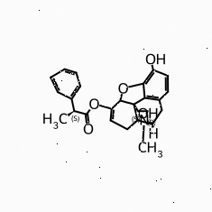 C[C@H](C(=O)OC1=CC[C@@]2(O)[C@H]3Cc4ccc(O)c5c4C2(CCN3C)C1O5)c1ccccc1